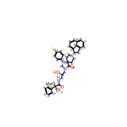 COC(C(=O)NCC(O)CN1CN(c2ccc(F)cc2)C2(CCN(C3Cc4cccc5cccc3c45)CC2)C1=O)(c1ccccc1)C(F)(F)F